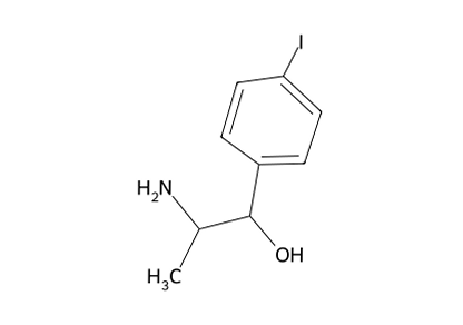 CC(N)C(O)c1ccc(I)cc1